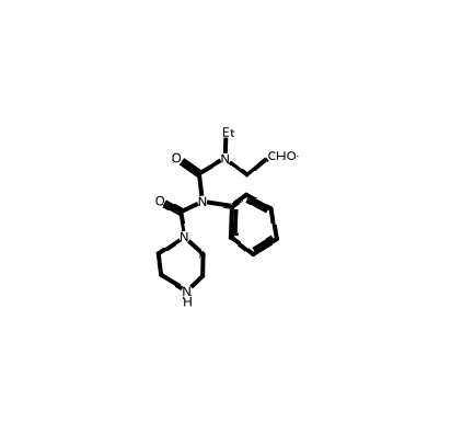 CCN(C[C]=O)C(=O)N(C(=O)N1CCNCC1)c1ccccc1